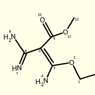 CCO/C(N)=C(/C(=N)N)C(=O)OC